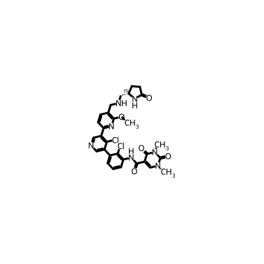 COc1nc(-c2cncc(-c3cccc(NC(=O)c4cn(C)c(=O)n(C)c4=O)c3Cl)c2Cl)ccc1CNC[C@@H]1CCC(=O)N1